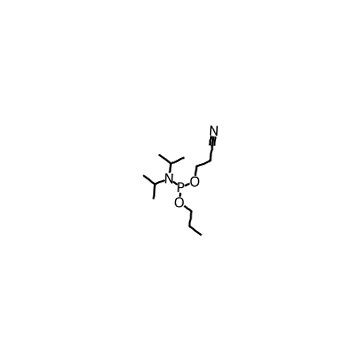 CCCOP(OCCC#N)N(C(C)C)C(C)C